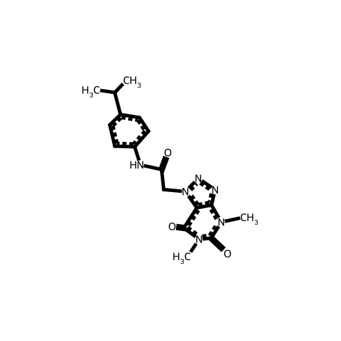 CC(C)c1ccc(NC(=O)Cn2nnc3c2c(=O)n(C)c(=O)n3C)cc1